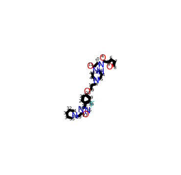 C[C@H](NC(=O)c1ccco1)C(=O)N1CCCN(CCCOc2ccc(-c3noc(CN4CCCCC4)n3)c(F)c2)CC1